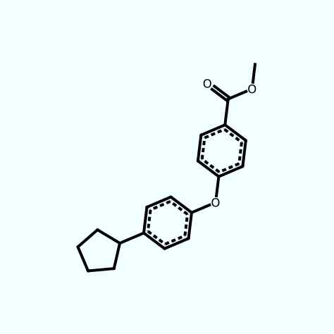 COC(=O)c1ccc(Oc2ccc(C3CCCC3)cc2)cc1